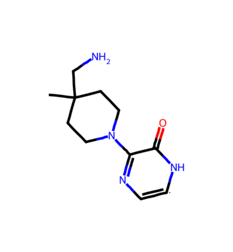 CC1(CN)CCN(c2nc[c][nH]c2=O)CC1